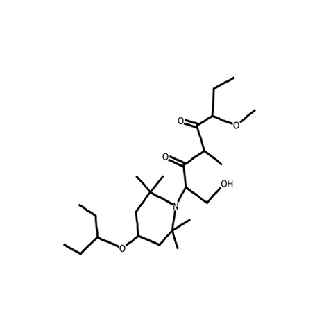 CCC(CC)OC1CC(C)(C)N(C(CO)C(=O)C(C)C(=O)C(CC)OC)C(C)(C)C1